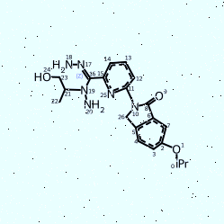 CC(C)Oc1ccc2c(c1)C(=O)N(c1cccc(/C(=N/N)N(N)C(C)CO)n1)C2